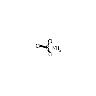 ClB(Cl)Cl.N